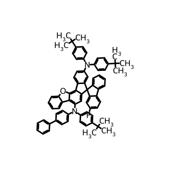 CC(C)(C)c1ccc(N(c2ccc(C(C)(C)C)cc2)c2ccc3c(c2)C2(c4ccccc4-c4ccc(F)cc42)c2cc(N(c4ccc(-c5ccccc5)cc4)c4ccc(C(C)(C)C)cc4)c4c(oc5ccccc54)c2-3)cc1